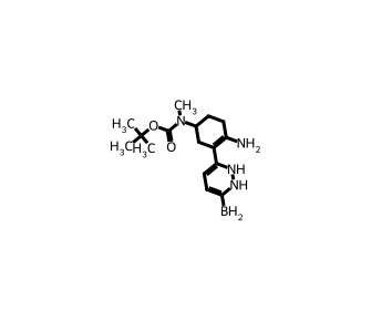 BC1=CC=C(C2=C(N)CCC(N(C)C(=O)OC(C)(C)C)C2)NN1